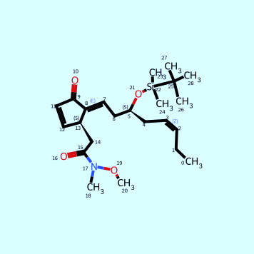 CC/C=C\C[C@@H](C/C=C1/C(=O)C=C[C@@H]1CC(=O)N(C)OC)O[Si](C)(C)C(C)(C)C